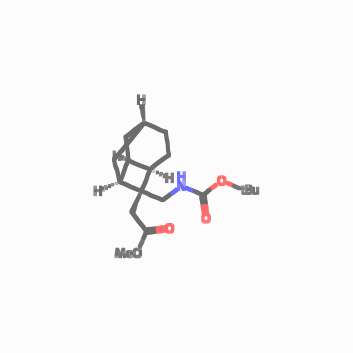 COC(=O)C[C@]1(CNC(=O)OC(C)(C)C)[C@@H]2CC[C@H]3C[C@@H]2[C@@H]1C3